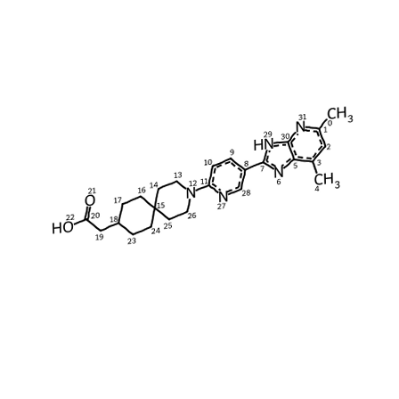 Cc1cc(C)c2nc(-c3ccc(N4CCC5(CCC(CC(=O)O)CC5)CC4)nc3)[nH]c2n1